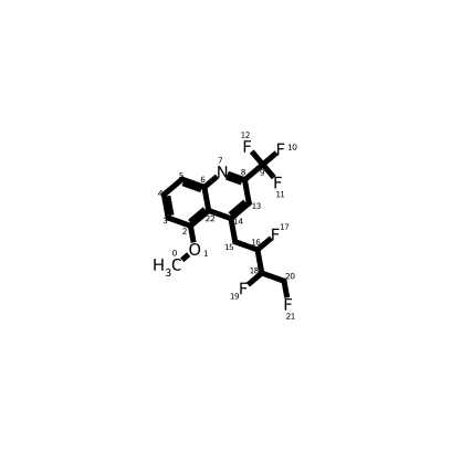 COc1cccc2nc(C(F)(F)F)cc(CC(F)C(F)CF)c12